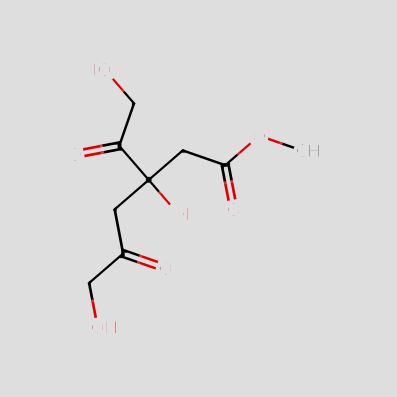 COC(=O)CC(O)(CC(=O)CO)C(=O)CO